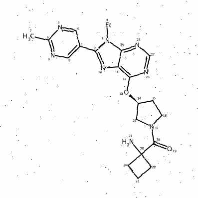 CCn1c(-c2cnc(C)nc2)nc2c(O[C@H]3CCN(C(=O)C4(N)CCC4)C3)ncnc21